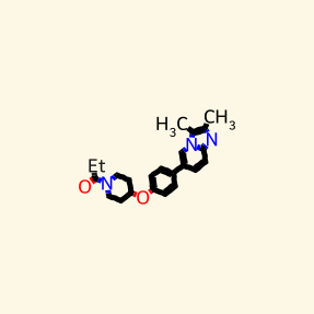 CCC(=O)N1CCC(Oc2ccc(-c3ccc4nc(C)c(C)n4c3)cc2)CC1